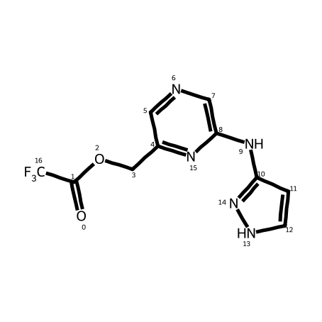 O=C(OCc1cncc(Nc2cc[nH]n2)n1)C(F)(F)F